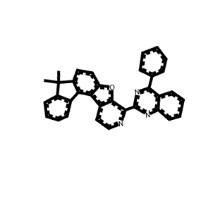 CC1(C)c2ccccc2-c2c1ccc1oc3c(-c4nc(-c5ccccc5)c5ccccc5n4)nccc3c21